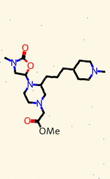 COC(=O)CN1CCN(C2CN(C)C(=O)O2)C(CCCC2CCN(C)CC2)C1